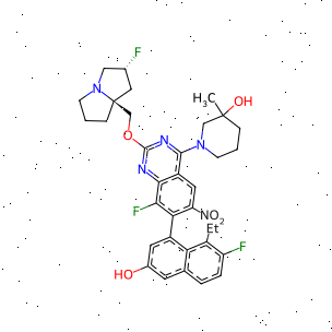 CCc1c(F)ccc2cc(O)cc(-c3c([N+](=O)[O-])cc4c(N5CCCC(C)(O)C5)nc(OC[C@@]56CCCN5C[C@H](F)C6)nc4c3F)c12